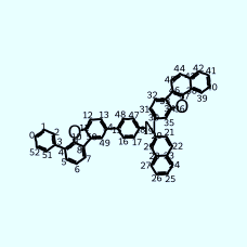 c1ccc(-c2cccc3c2oc2ccc(-c4ccc(N(c5ccc6ccccc6c5)c5ccc6c(c5)oc5c7ccccc7ccc65)cc4)cc23)cc1